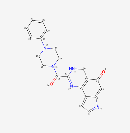 O=C1C=C2N=CC=C2C2=C1CNC(C(=O)N1CCN(c3ccccc3)CC1)=N2